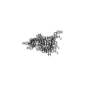 CC(=O)N[C@@H](CO)C(=O)N1CCC[C@H]1C(=O)N[C@@H](Cc1ccc(O)cc1)C(=O)N[C@@H](CO)C(=O)N[C@@H](CO)C(=O)N[C@@H](CC(=O)O)C(=O)N[C@H](C(=O)N[C@H](C(=O)N1CCC[C@H]1C(=O)N[C@@H](C)C(=O)N[C@@H](C)C(=O)N[C@@H](Cc1ccccc1)C(=O)N[C@@H](C)C(=O)N[C@@H](Cc1ccc(O)cc1)C(N)=O)[C@@H](C)O)[C@@H](C)O